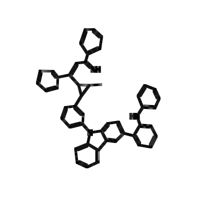 CC1C(/C(=C\C(=N)c2ccccc2)c2ccccc2)C1c1cccc(-n2c3ccccc3c3cc(-c4ccccc4Nc4ccccc4)ccc32)c1